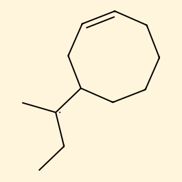 CC[C](C)C1C/C=C\CCCC1